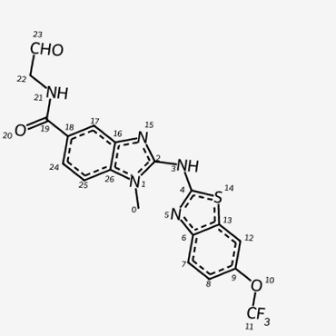 Cn1c(Nc2nc3ccc(OC(F)(F)F)cc3s2)nc2cc(C(=O)NCC=O)ccc21